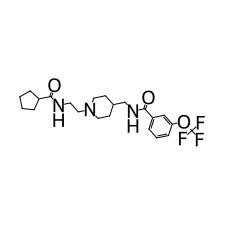 O=C(NCC1CCN(CCNC(=O)C2CCCC2)CC1)c1cccc(OC(F)(F)F)c1